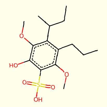 CCCc1c(OC)c(S(=O)(=O)O)c(O)c(OC)c1C(C)CC